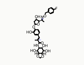 C/C(=C\c1ccc(O[C@@H]2C[C@H](O)[C@@H](/C(C)=N/OCc3ccc(F)cc3)O2)c(O)c1)C(=O)N[C@@H]1[C@H](O)[C@@H](O)[C@H]2OCO[C@H]2[C@@H]1O